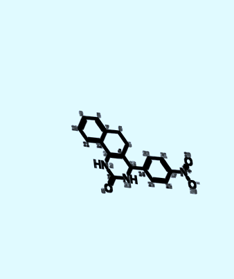 O=C1NC2=C(CCc3ccccc32)C(c2ccc([N+](=O)[O-])cc2)N1